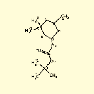 CC1CC(OC(=O)OC(C)(C)C)CC(C)(C)C1